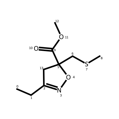 CCC1=NOC(CSC)(C(=O)OC)C1